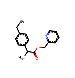 CC(C)Cc1ccc(C(C)C(=O)OCc2ccccn2)cc1